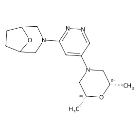 C[C@@H]1CN(c2cnnc(N3CC4CCC(C3)O4)c2)C[C@H](C)O1